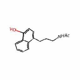 CC(=O)NCCCc1ccc(O)c2ccccc12